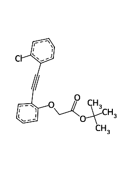 CC(C)(C)OC(=O)COc1ccccc1C#Cc1ccccc1Cl